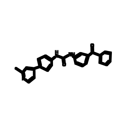 Cc1cc(-c2ccc(NC(=O)Nc3cccc(C(=O)c4ccccc4)c3)cc2)ccn1